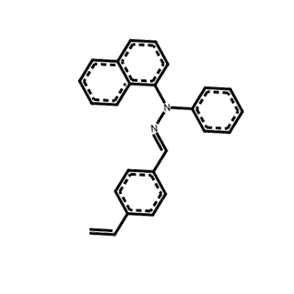 C=Cc1ccc(C=NN(c2ccccc2)c2cccc3ccccc23)cc1